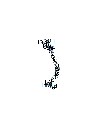 CCCCNc1nc(NCCOCCOCCC(=O)NCc2ccc(OC(=O)CCOCCOCCOCCOCCOCCOCCNC(=S)Nc3ccc4c(c3)C(=O)OC43c4ccc(O)cc4Oc4cc(O)ccc43)c(F)c2)nc(NCc2cccc(F)c2)n1